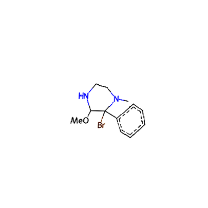 COC1NCCN(C)C1(Br)c1ccccc1